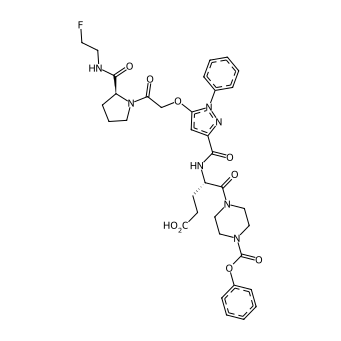 O=C(O)CC[C@H](NC(=O)c1cc(OCC(=O)N2CCC[C@H]2C(=O)NCCF)n(-c2ccccc2)n1)C(=O)N1CCN(C(=O)Oc2ccccc2)CC1